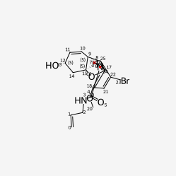 C=CCNC(=O)N1CC[C@@]23C=C[C@@H](O)C[C@@H]2Oc2c(OC)cc(Br)c(c23)C1